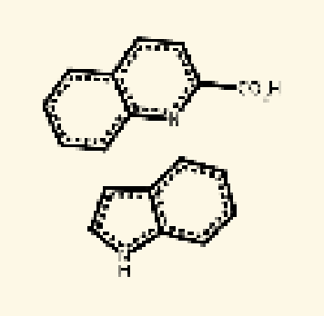 O=C(O)c1ccc2ccccc2n1.c1ccc2[nH]ccc2c1